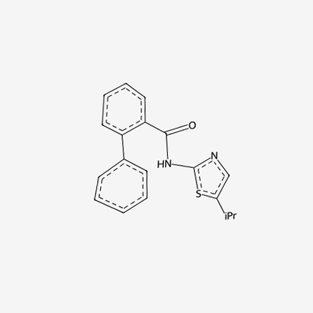 CC(C)c1cnc(NC(=O)c2ccccc2-c2ccccc2)s1